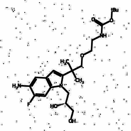 CC(C)(C)OC(=O)NCCOCC(C)(C)c1cc2cc(N)c(F)cc2n1C[C@@H](O)CO